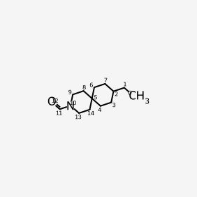 CCC1CCC2(CC1)CCN(C=O)CC2